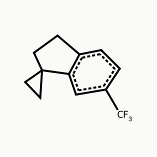 FC(F)(F)c1ccc2c(c1)C1(CC2)CC1